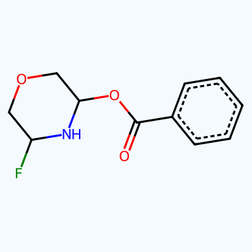 O=C(OC1COCC(F)N1)c1ccccc1